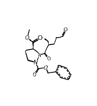 COC(=O)[C@@H]1CCN(C(=O)OCc2ccccc2)N1C(=O)[C@@H](C)CCC=O